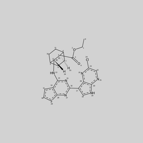 CCOC(=O)[C@@H]1C2CCC(CC2)[C@H]1Nc1nc(-c2c[nH]c3ncc(Cl)nc23)nc2sccc12